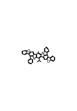 Cc1c2c3cc4oc5ccccc5c4c4c5ccccc5n(c2c(C(C)C)c2c5cc6oc7ccccc7c6c6c7ccccc7n(c12)c56)c34